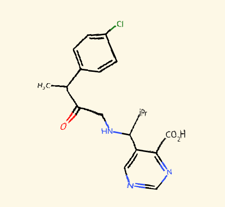 CC(C(=O)CNC(c1cncnc1C(=O)O)C(C)C)c1ccc(Cl)cc1